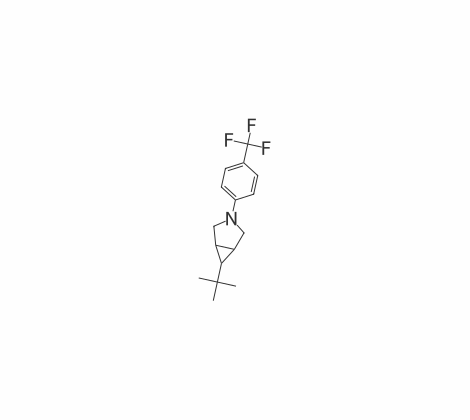 CC(C)(C)C1C2CN(c3ccc(C(F)(F)F)cc3)CC21